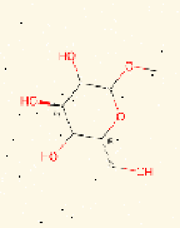 COC1O[C@H](CO)C(O)[C@@H](O)C1O